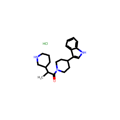 CC(C(=O)N1CCC(c2c[nH]c3ccccc23)CC1)C1CCCNC1.Cl